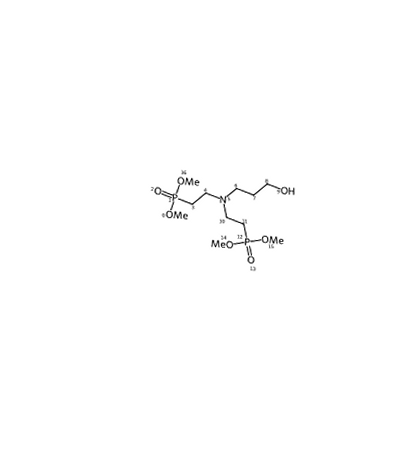 COP(=O)(CCN(CCCO)CCP(=O)(OC)OC)OC